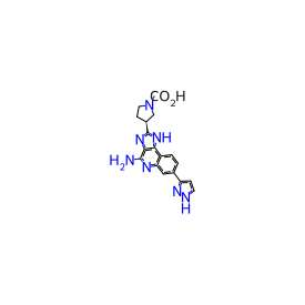 Nc1nc2cc(-c3cc[nH]n3)ccc2c2[nH]c([C@H]3CCN(C(=O)O)C3)nc12